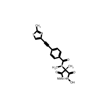 CNC(=O)[C@@](C)(C(=O)NO)N(C)C(=O)c1ccc(C#Cc2csc(C)n2)cc1